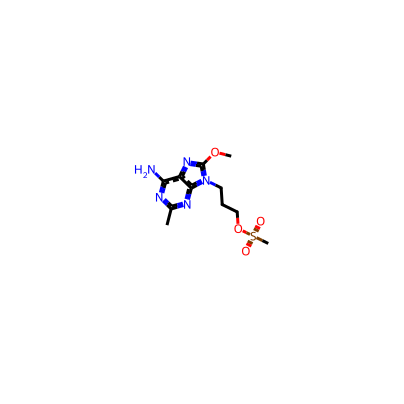 COc1nc2c(N)nc(C)nc2n1CCCOS(C)(=O)=O